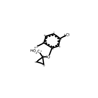 O=C(O)C1(Oc2cc(Cl)ccc2I)CC1